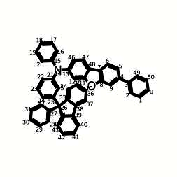 c1ccc(-c2ccc3c(c2)oc2cc(N(c4ccccc4)c4cccc(C5(c6ccccc6)c6ccccc6-c6ccccc65)c4)ccc23)cc1